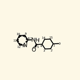 CC1CCC(C(=O)Nc2ccccn2)CC1